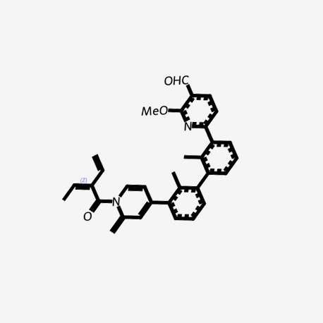 C=C/C(=C/C)C(=O)N1C=CC(c2cccc(-c3cccc(-c4ccc(C=O)c(OC)n4)c3C)c2C)=CC1=C